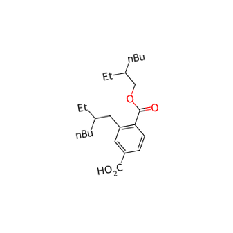 CCCCC(CC)COC(=O)c1ccc(C(=O)O)cc1CC(CC)CCCC